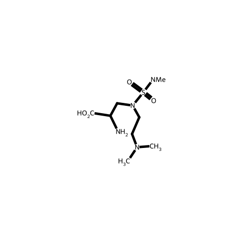 CNS(=O)(=O)N(CCN(C)C)CC(N)C(=O)O